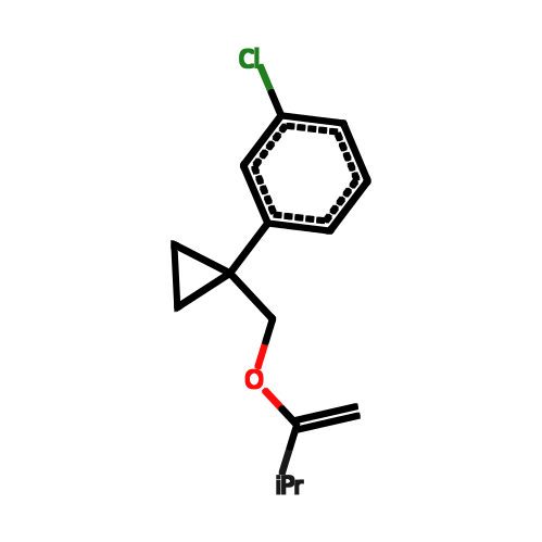 C=C(OCC1(c2cccc(Cl)c2)CC1)C(C)C